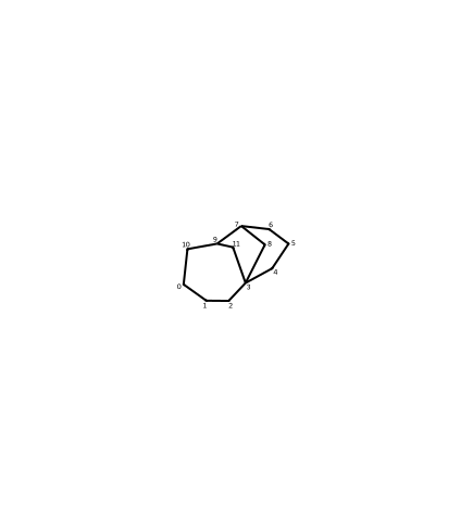 C1CCC23CCCC(C2)C(C1)C3